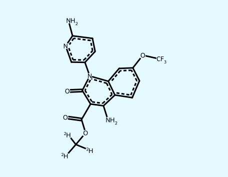 [2H]C([2H])([2H])OC(=O)c1c(N)c2ccc(OC(F)(F)F)cc2n(-c2ccc(N)nc2)c1=O